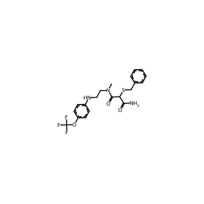 CN(CCNc1ccc(OC(F)(F)F)cc1)C(=O)C(SCc1ccccc1)C(N)=O